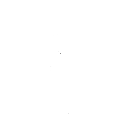 CC1(C)c2ccccc2-c2cccc(-c3cccc(Nc4cccc(-c5cccc6c5C(C)(C)c5ccccc5-6)c4)c3)c21